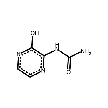 NC(=O)Nc1nccnc1O